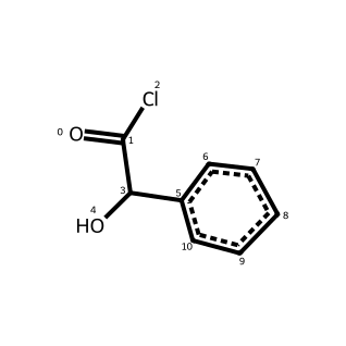 O=C(Cl)C(O)c1ccccc1